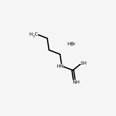 Br.CCCCNC(=N)S